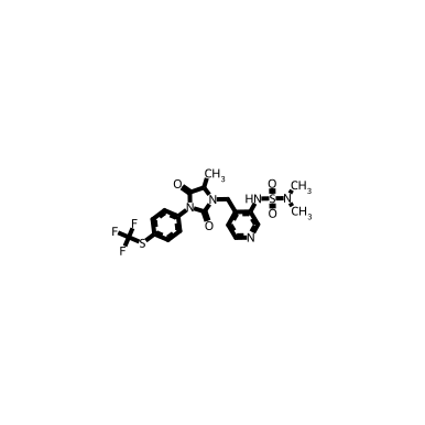 CC1C(=O)N(c2ccc(SC(F)(F)F)cc2)C(=O)N1Cc1ccncc1NS(=O)(=O)N(C)C